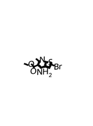 CCOC(=O)c1c(C)nc2sc(Br)cc2c1N